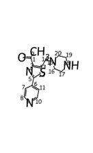 CC(=O)c1nc(-c2ccncc2)sc1CN1CCNCC1